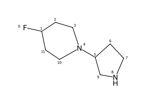 FC1CCN(C2CCNC2)CC1